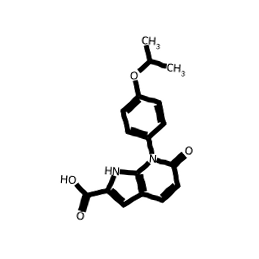 CC(C)Oc1ccc(-n2c(=O)ccc3cc(C(=O)O)[nH]c32)cc1